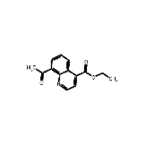 CCOC(=O)c1ccnc2c(C(C)=O)cccc12